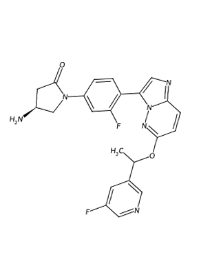 CC(Oc1ccc2ncc(-c3ccc(N4C[C@@H](N)CC4=O)cc3F)n2n1)c1cncc(F)c1